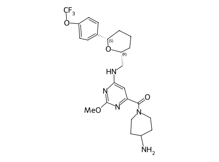 COc1nc(NC[C@H]2CCC[C@@H](c3ccc(OC(F)(F)F)cc3)O2)cc(C(=O)N2CCC(N)CC2)n1